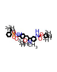 [2H]C([2H])([2H])Oc1cc(C(=O)NS(=O)(=O)c2ccccc2C([2H])([2H])[2H])ccc1Cc1cn(C)c2ccc(NC(=O)OC3CC([2H])([2H])C([2H])([2H])C3)cc12